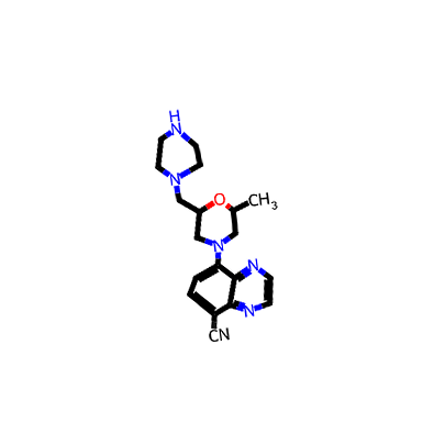 CC1CN(c2ccc(C#N)c3nccnc23)CC(CN2CCNCC2)O1